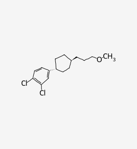 COCCC[C@H]1CC[C@H](c2ccc(Cl)c(Cl)c2)CC1